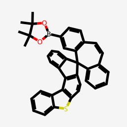 CC1(C)OB(c2ccc3c(c2)C2(c4ccccc4C=C3)c3ccccc3-c3c2ccc2sc4ccccc4c32)OC1(C)C